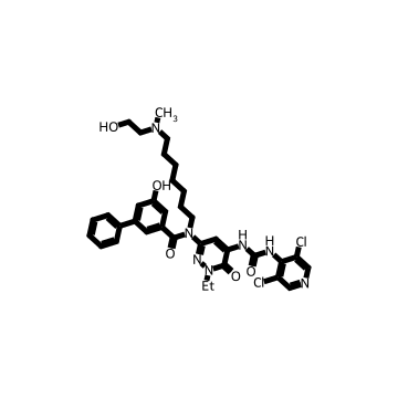 CCn1nc(N(CCCCCCCN(C)CCO)C(=O)c2cc(O)cc(-c3ccccc3)c2)cc(NC(=O)Nc2c(Cl)cncc2Cl)c1=O